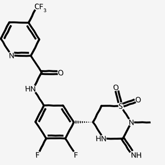 CN1C(=N)N[C@H](c2cc(NC(=O)c3cc(C(F)(F)F)ccn3)cc(F)c2F)CS1(=O)=O